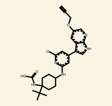 C#CCOc1cnc2[nH]cc(-c3cc(Cl)nc(NC4CCC(NC(=O)O)(C(C)(C)C)CC4)c3)c2c1